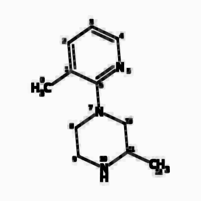 Cc1cccnc1N1CCNC(C)C1